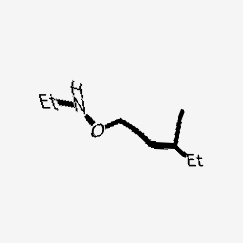 [CH2]CNOCCC(C)CC